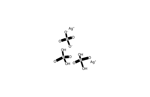 O=S(=O)(O)O.O=S(=O)(O)O.O=S(=O)([O-])[O-].[Ag+].[Ag+]